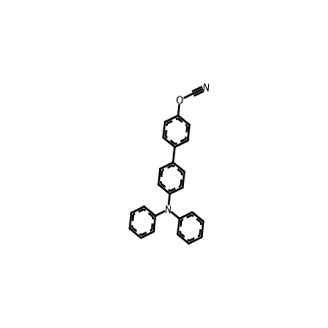 N#COc1ccc(-c2ccc(N(c3ccccc3)c3ccccc3)cc2)cc1